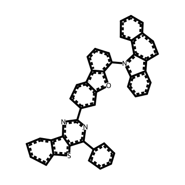 c1ccc(-c2nc(-c3ccc4c(c3)oc3c(-n5c6ccccc6c6ccc7ccccc7c65)cccc34)nc3c2sc2ccccc23)cc1